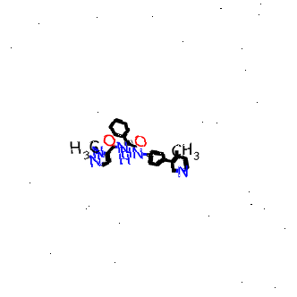 Cc1ccncc1-c1ccc(NC(=O)[C@@H](NC(=O)c2ccnn2C)C2CCCCC2)cc1